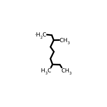 [CH2]CC(C)CCCC(C)CC